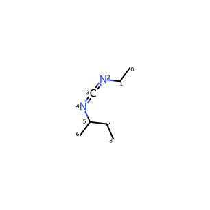 CCN=C=NC(C)CC